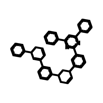 C1=CC(c2cccc(C3CC=CC(c4cccc(-c5nc(-c6ccccc6)cc(-c6ccccc6)n5)c4)C3)c2)=CC(c2ccccc2)C1